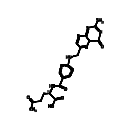 CC(=O)CC[C@@H](NC(=O)c1ccc(NCC2=NC3C(=O)N=C(N)N=C3N=C2)cc1)C(=O)O